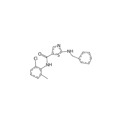 Cc1cccc(Cl)c1NC(=O)c1cnc(NCc2ccccc2)s1